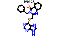 COc1cccc2nc(CSc3ncnc4[nH]cnc34)n(Cc3ccccc3)c(=O)c12